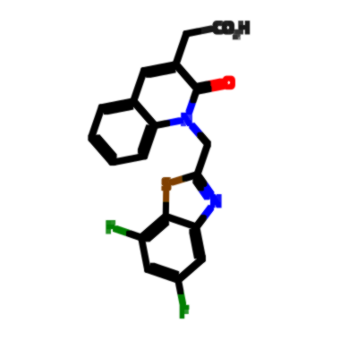 O=C(O)Cc1cc2ccccc2n(Cc2nc3cc(F)cc(F)c3s2)c1=O